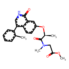 COC(=O)CN(C)C(=O)[C@H](C)Oc1ccc2c(-c3ccccc3C)c[nH]c(=O)c2c1